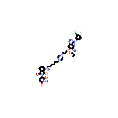 C=CC(=O)Nc1cc2c(Nc3ccc(F)c(Cl)c3)ncnc2cc1OCCCN1CCN(CCCCCCNc2cccc3c2C(=O)N(C2CCC(=O)NC2=O)C3=O)CC1